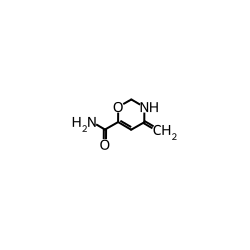 C=C1C=C(C(N)=O)OCN1